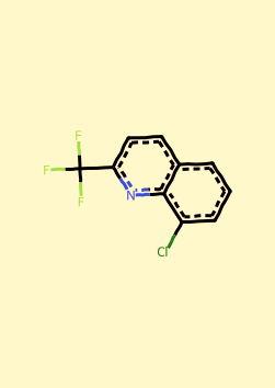 FC(F)(F)c1ccc2cccc(Cl)c2n1